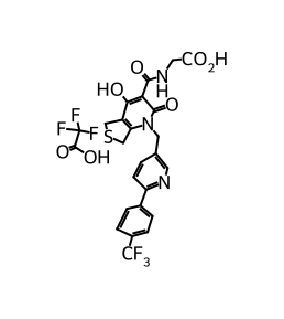 O=C(O)C(F)(F)F.O=C(O)CNC(=O)c1c(O)c2c(n(Cc3ccc(-c4ccc(C(F)(F)F)cc4)nc3)c1=O)CSC2